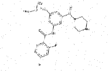 CC(C)(C)OC=O.O=C(Nc1cc(C(=O)N2CCNCC2)cc(C(F)(F)F)c1)c1ccc(Br)cc1F